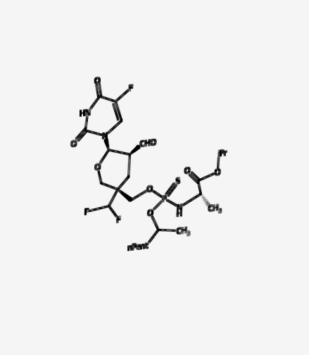 CCCCCC(C)OP(=S)(N[C@@H](C)C(=O)OC(C)C)OC[C@@]1(C(F)F)CO[C@@H](n2cc(F)c(=O)[nH]c2=O)[C@@H](C=O)C1